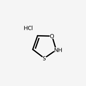 C1=CSNO1.Cl